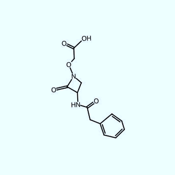 O=C(O)CON1CC(NC(=O)Cc2ccccc2)C1=O